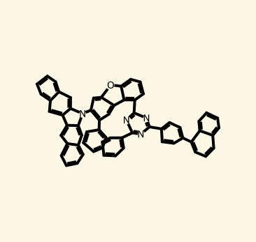 c1ccc(-c2nc(-c3ccc(-c4cccc5ccccc45)cc3)nc(-c3cccc4oc5cc(-n6c7cc8ccccc8cc7c7cc8ccccc8cc76)c(-c6ccccc6)cc5c34)n2)cc1